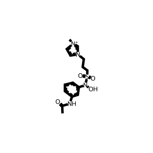 CC(=O)Nc1cccc(N(O)S(=O)(=O)CCCn2cc[n+](C)c2)c1